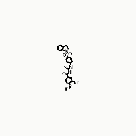 CC(C)Oc1ccc(C(=O)NC(=S)Nc2ccc(S(=O)(=O)N3CCc4ccccc43)cc2)cc1Br